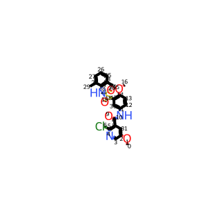 COc1cnc(Cl)c(C(=O)Nc2ccc(OC)c(S(=O)(=O)Nc3c(C)cccc3C)c2)c1